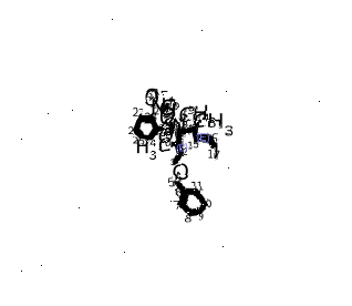 C/C(=C\COCc1ccccc1)[C@H]([C@@H](C)/C=C/I)N(C)S(=O)(=O)c1ccccc1[N+](=O)[O-]